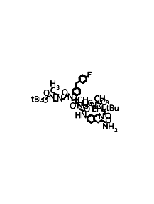 CC1CN(CC(=O)N2CC(C)(C(=O)NCC(=O)Nc3ccc4c(c3)CN(C(=O)C(NC(=O)[C@H](C)N(C)C)C(C)(C)C)C(C(N)=O)C4)c3ccc(Cc4ccc(F)cc4)cc32)CCN1C(=O)OC(C)(C)C